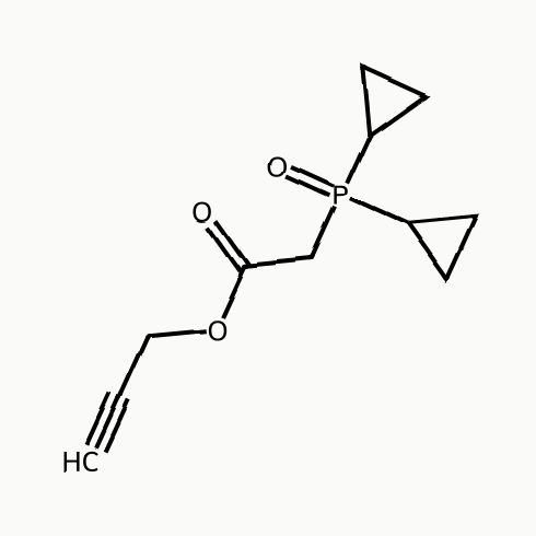 C#CCOC(=O)CP(=O)(C1CC1)C1CC1